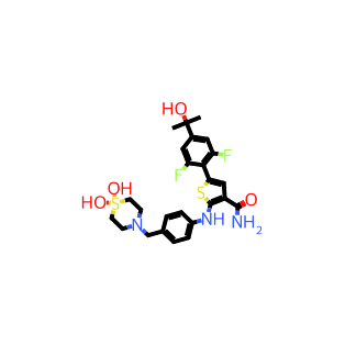 CC(C)(O)c1cc(F)c(-c2cc(C(N)=O)c(Nc3ccc(CN4CCS(O)(O)CC4)cc3)s2)c(F)c1